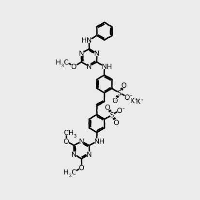 COc1nc(Nc2ccccc2)nc(Nc2ccc(C=Cc3ccc(Nc4nc(OC)nc(OC)n4)cc3S(=O)(=O)[O-])c(S(=O)(=O)[O-])c2)n1.[K+].[K+]